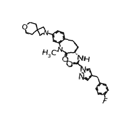 CN1C(=O)[C@@H](NC(=O)n2cc(Cc3ccc(F)cc3)cn2)CCc2ccc(N3CC4(CCOCC4)C3)cc21